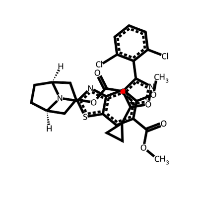 COC(=O)c1cc2sc(N3[C@@H]4CC[C@H]3CC(OC(=O)c3c(-c5c(Cl)cccc5Cl)noc3C3CC3)C4)nc2cc1OC